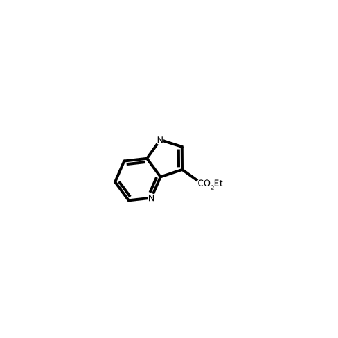 CCOC(=O)C1=C[N]c2cccnc21